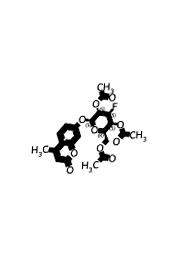 CC(=O)OC[C@H]1O[C@@H](Oc2ccc3c(C)cc(=O)oc3c2)[C@H](OC(C)=O)[C@@H](F)[C@H]1OC(C)=O